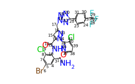 NC(=O)c1cc(Br)cc(Cl)c1NC(=O)c1cc(Cn2nnc(-c3ccc(C(F)(F)F)cc3)n2)nn1-c1ncccc1Cl